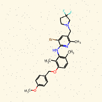 COc1ccc(COc2ccc(C)c(Nc3nc(C)c(CN4CCC(F)(F)C4)cc3Br)c2C)cc1